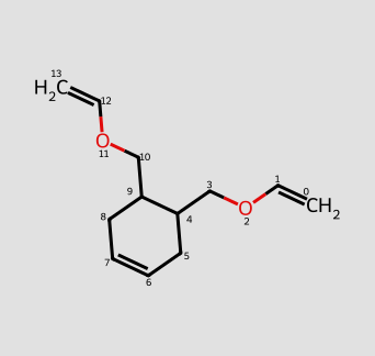 C=COCC1CC=CCC1COC=C